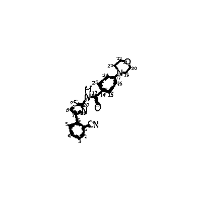 N#Cc1ccccc1-c1csc(NC(=O)c2ccc(N3CCOCC3)cc2)n1